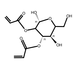 C=CC(=O)OC1[C@H](O)OC(CO)[C@@H](O)[C@@H]1OC(=O)C=C